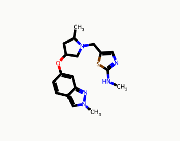 CNc1ncc(CN2CC(Oc3ccc4cn(C)nc4c3)CC2C)s1